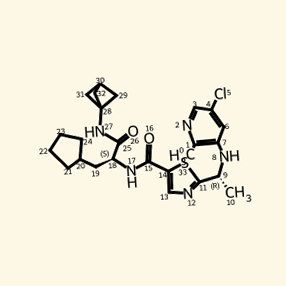 Cc1ncc(Cl)cc1N[C@H](C)c1ncc(C(=O)N[C@@H](CC2CCCC2)C(=O)NC23CC(C2)C3)s1